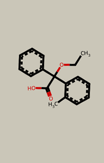 CCOC(C(=O)O)(c1ccccc1)c1ccccc1C